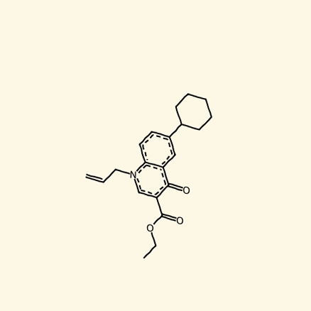 C=CCn1cc(C(=O)OCC)c(=O)c2cc(C3CCCCC3)ccc21